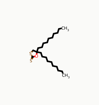 CCCCCCCCCCC1(CCCCCCCCCC)CSC(=S)O1